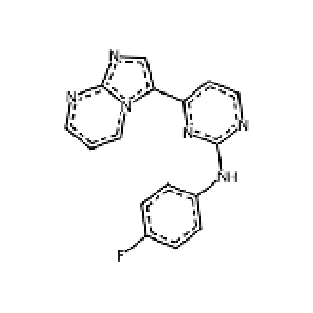 Fc1ccc(Nc2nccc(-c3cnc4ncccn34)n2)cc1